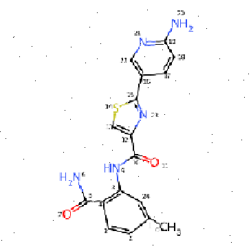 Cc1ccc(C(N)=O)c(NC(=O)c2csc(-c3ccc(N)nc3)n2)c1